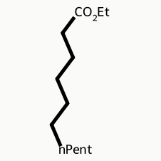 [CH2]CCCCCCCCCC(=O)OCC